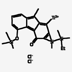 CC[Si](C)(C)[Si]1(C)C2=C1[C]([Ti+2])=C1C(C)=c3cccc(O[Si](C)(C)C)c3=C1C2=O.[Cl-].[Cl-]